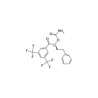 NC(=O)O[C@@H](CCc1ccccc1)C(=O)c1cc(C(F)(F)F)cc(C(F)(F)F)c1